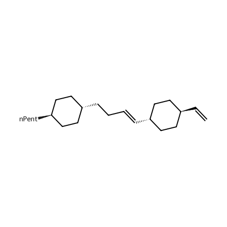 C=C[C@H]1CC[C@H](C=CCC[C@H]2CC[C@H](CCCCC)CC2)CC1